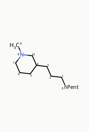 CCCCCCCCC1CCCN(C)C1